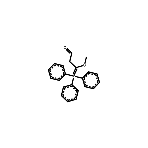 COC(CC=O)=P(c1ccccc1)(c1ccccc1)c1ccccc1